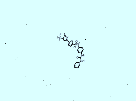 CN(c1ccc(NC(=O)Nc2ccccc2)cc1)S(=O)(=O)c1ccc(-c2cc(C(F)(F)F)n(C)n2)s1